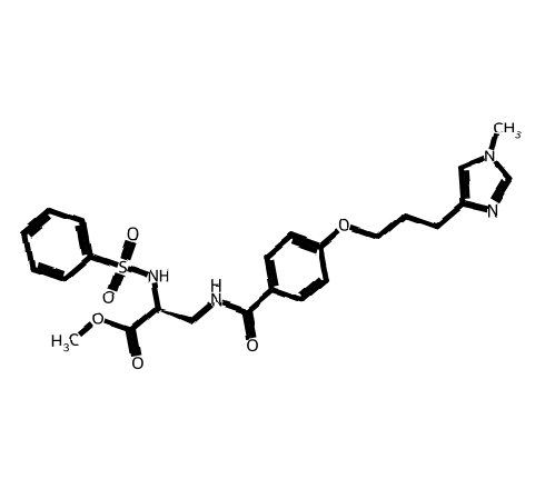 COC(=O)[C@H](CNC(=O)c1ccc(OCCCc2cn(C)cn2)cc1)NS(=O)(=O)c1ccccc1